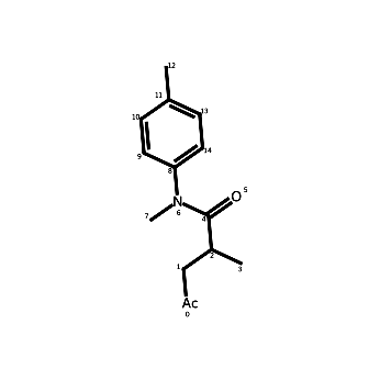 CC(=O)CC(C)C(=O)N(C)c1ccc(C)cc1